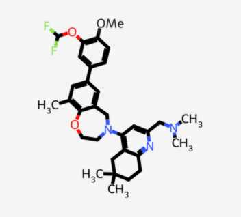 COc1ccc(-c2cc(C)c3c(c2)CN(c2cc(CN(C)C)nc4c2CC(C)(C)CC4)CCO3)cc1OC(F)F